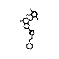 Fc1ccc(F)c(CN2CCNc3ncc(-c4cnn(CCN5CCOCC5)c4)nc32)c1Cl